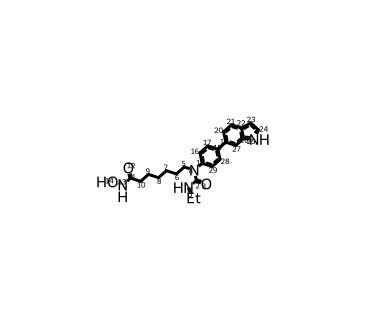 CCNC(=O)N(CCCCCCC(=O)NO)c1ccc(-c2ccc3cc[nH]c3c2)cc1